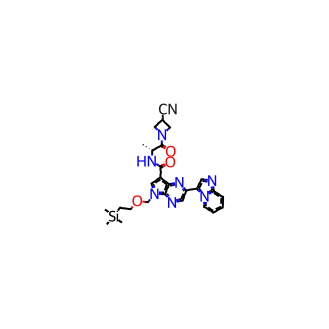 C[C@@H](NC(=O)c1cn(COCC[Si](C)(C)C)c2ncc(-c3cnc4ccccn34)nc12)C(=O)N1CC(C#N)C1